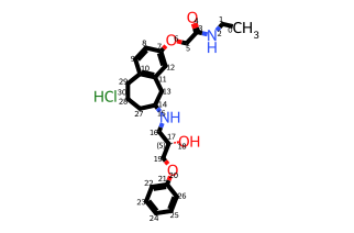 CCNC(=O)COc1ccc2c(c1)CC(NC[C@H](O)COc1ccccc1)CCC2.Cl